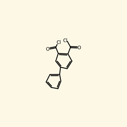 O=C(Cl)c1ccc(-c2ccccc2)cc1C(=O)Cl